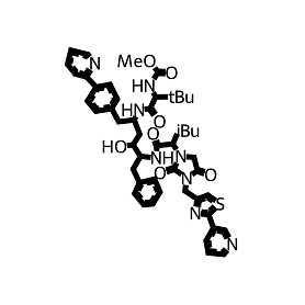 CCC(C)C(C(=O)NC(Cc1ccccc1)C(O)CC(Cc1ccc(-c2ccccn2)cc1)NC(=O)C(NC(=O)OC)C(C)(C)C)N1CC(=O)N(Cc2csc(-c3cccnc3)n2)C1=O